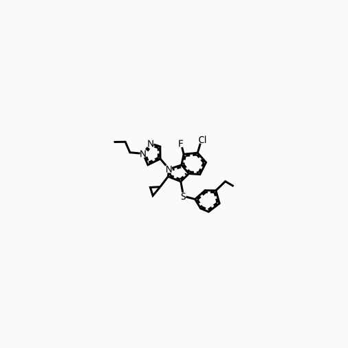 CCCn1cc(-n2c(C3CC3)c(Sc3cccc(CC)c3)c3ccc(Cl)c(F)c32)cn1